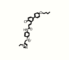 CCCCOc1ccc(-c2ccc(Cl)c(/C=C/C(=O)Nc3ccc([S@+]([O-])Cc4cncn4CC)cc3)c2)cc1